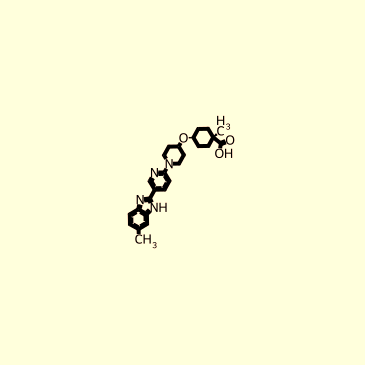 Cc1ccc2nc(-c3ccc(N4CCC(O[C@H]5CC[C@@](C)(C(=O)O)CC5)CC4)nc3)[nH]c2c1